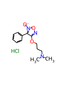 CN(C)CCCOc1no[n+]([O-])c1-c1ccccc1.Cl